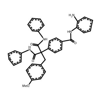 COc1ccc(CC(C(=O)Nc2ccccc2)(C(=O)Nc2ccccc2)c2ccc(C(=O)Nc3ccccc3N)cc2)cc1